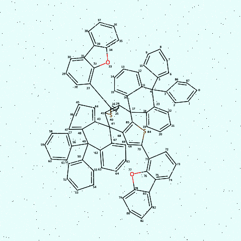 c1ccc(C2(c3ccccc3)c3ccccc3C3(c4ccccc42)c2cc(-c4cccc5c4oc4ccccc45)sc2C2(c4ccccc4C(c4ccccc4)(c4ccccc4)c4ccccc42)c2cc(-c4cccc5c4oc4ccccc45)sc23)cc1